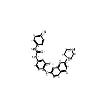 N#Cc1ccc(NC(=O)Nc2ccc(Oc3ccc4ncc(N5CCNCC5)nc4c3)c(F)c2)cc1